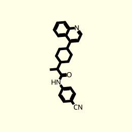 CC(C(=O)Nc1ccc(C#N)cc1)C1CCC(c2ccnc3ccccc23)CC1